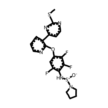 CSc1nccc(-c2cccnc2Oc2cc(F)c(N[S+]([O-])N3CCCC3)c(F)c2F)n1